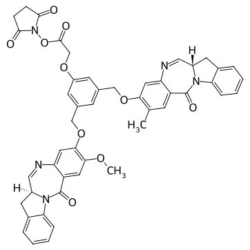 COc1cc2c(cc1OCc1cc(COc3cc4c(cc3C)C(=O)N3c5ccccc5C[C@H]3C=N4)cc(OCC(=O)ON3C(=O)CCC3=O)c1)N=C[C@@H]1Cc3ccccc3N1C2=O